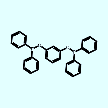 c1ccc(P(Oc2cccc(OP(c3ccccc3)c3ccccc3)c2)c2ccccc2)cc1